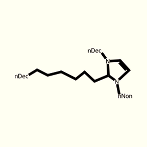 CCCCCCCCCCCCCCCCC1N(CCCCCCCCC)C=CN1CCCCCCCCCC